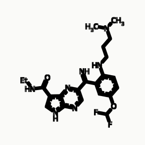 CCNC(=O)c1c[nH]c2ncc(C(=N)c3cc(OC(F)F)ccc3NCCCN(C)C)nc12